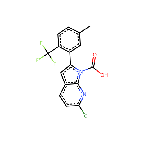 Cc1ccc(C(F)(F)F)c(-c2cc3ccc(Cl)nc3n2C(=O)O)c1